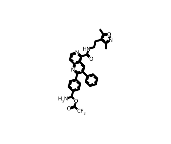 Cc1noc(C)c1CCNC(=O)c1nccc2nc(-c3ccc(C(N)OC(=O)C(F)(F)F)cc3)c(-c3ccccc3)cc12